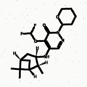 C[C@H]1[C@H]2C[C@H](C[C@H]1Nc1cnn(C3CCCCO3)c(=O)c1OC(F)F)C2(C)C